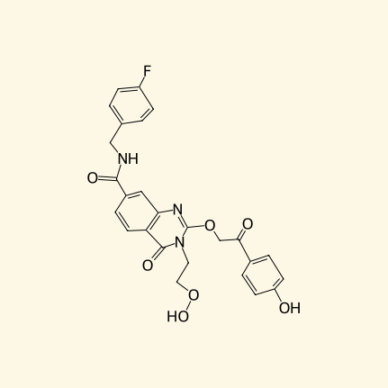 O=C(COc1nc2cc(C(=O)NCc3ccc(F)cc3)ccc2c(=O)n1CCOO)c1ccc(O)cc1